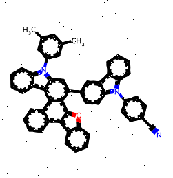 Cc1cc(C)cc(-n2c3ccccc3c3c4c5ccccc5c5c6ccccc6oc5c4c(-c4ccc5c(c4)c4ccccc4n5-c4ccc(C#N)cc4)cc32)c1